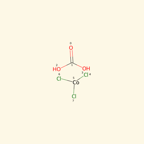 O=C(O)O.[Cl][Co]([Cl])[Cl]